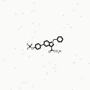 O=C(O)C(=O)c1cn(Cc2ccccc2)c2ccc(-c3ccc(OC(F)(F)I)cc3)cc12